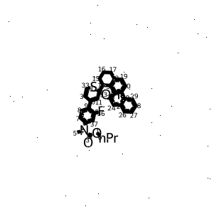 CCCOC(=O)N(C)c1ccc(C2=CC(O)(C3CCCc4ccc5c(ccc6ccccc65)c43)SC=C2)c(F)c1